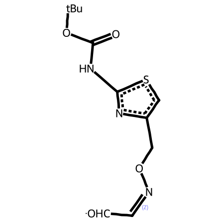 CC(C)(C)OC(=O)Nc1nc(CO/N=C\[C]=O)cs1